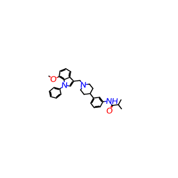 COc1cccc2c(CN3CCC(c4cccc(NC(=O)C(C)C)c4)CC3)cn(-c3ccccc3)c12